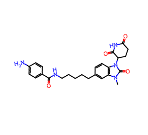 Cn1c(=O)n(C2CCC(=O)NC2=O)c2ccc(CCCCCNC(=O)c3ccc(N)cc3)cc21